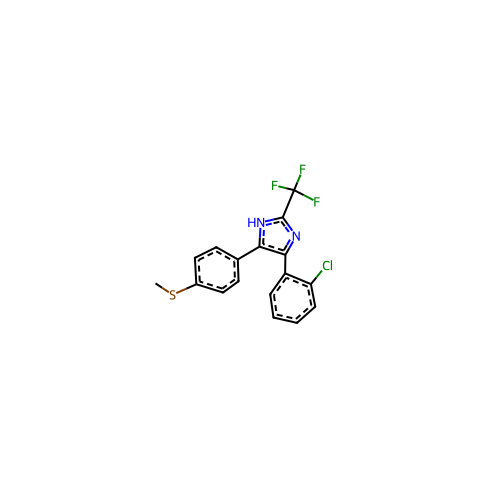 CSc1ccc(-c2[nH]c(C(F)(F)F)nc2-c2ccccc2Cl)cc1